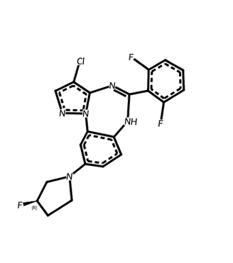 Fc1cccc(F)c1C1=Nc2c(Cl)cnn2-c2cc(N3CC[C@@H](F)C3)ccc2N1